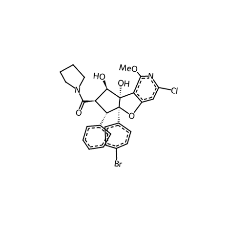 COc1nc(Cl)cc2c1[C@]1(O)[C@H](O)[C@H](C(=O)N3CCCC3)[C@@H](c3ccccc3)[C@]1(c1ccc(Br)cc1)O2